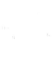 O=S1(=O)C/C(=N\O)c2ccccc2N1